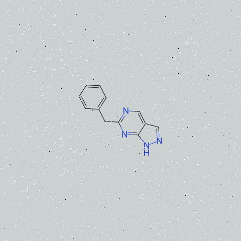 c1ccc(Cc2ncc3cn[nH]c3n2)cc1